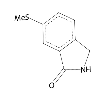 CSc1ccc2c(c1)C(=O)NC2